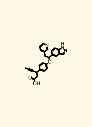 CC#CC(CC(=O)O)c1ccc(OC(Cc2cccnc2)c2ccc3[nH]ncc3c2)cc1